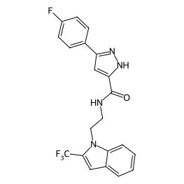 O=C(NCCn1c(C(F)(F)F)cc2ccccc21)c1cc(-c2ccc(F)cc2)n[nH]1